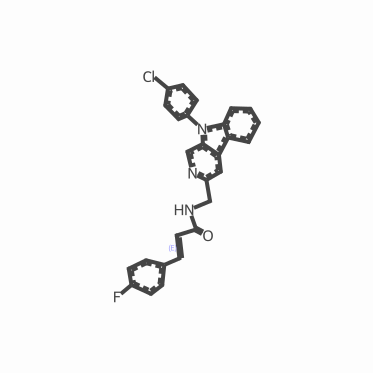 O=C(/C=C/c1ccc(F)cc1)NCc1cc2c3ccccc3n(-c3ccc(Cl)cc3)c2cn1